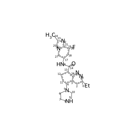 CCc1cc2c(N3CCNCC3)ccc(C(=O)Nc3cc(F)c4nc(C)cn4c3)c2nn1